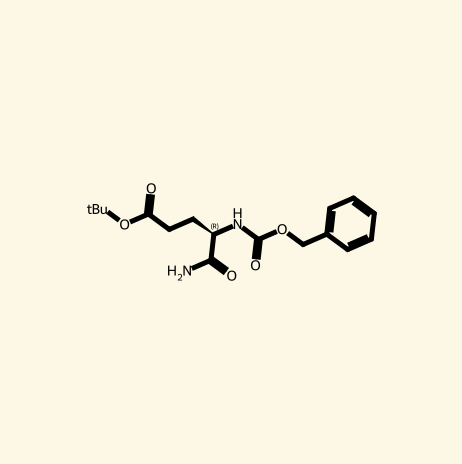 CC(C)(C)OC(=O)CC[C@@H](NC(=O)OCc1ccccc1)C(N)=O